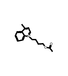 CC(=O)OCCCC[n+]1ccc(C)c2ccccc21